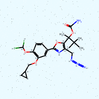 CC(C)(C)C(C)(OC(N)=O)c1oc(-c2ccc(OC(F)F)c(OCC3CC3)c2)nc1CN=[N+]=[N-]